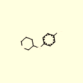 Cc1ccc(NC2CCCOC2)cc1